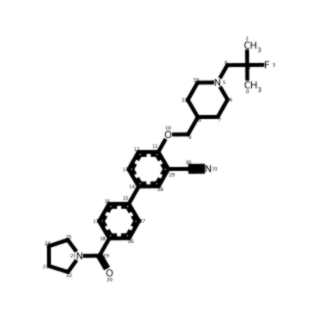 CC(C)(F)CN1CCC(COc2ccc(-c3ccc(C(=O)N4CCCC4)cc3)cc2C#N)CC1